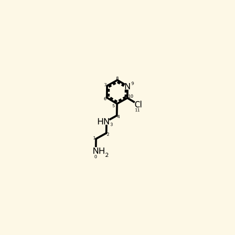 NCCNCc1cccnc1Cl